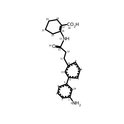 Nc1cccc(-c2cccc(CCC(=O)NC3=C(C(=O)O)CCCC3)c2)c1